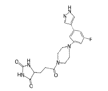 O=C1NC(=O)C(CCC(=O)N2CCN(c3cc(F)cc(-c4cn[nH]c4)c3)CC2)N1